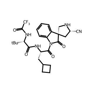 CC(C)(C)[C@H](NC(=O)C(F)(F)F)C(=O)N[C@@H](CC1CCC1)C(=O)N1C(=O)[C@@]2(CN[C@H](C#N)C2)c2ccccc21